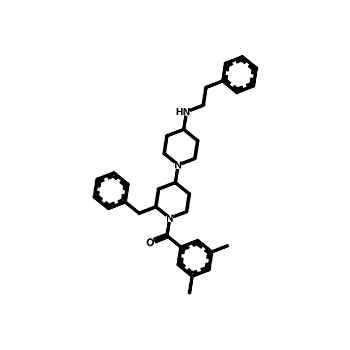 Cc1cc(C)cc(C(=O)N2CCC(N3CCC(NCCc4ccccc4)CC3)CC2Cc2ccccc2)c1